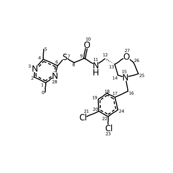 Cc1cnc(C)c(SCC(=O)NC[C@H]2CN(Cc3ccc(Cl)c(Cl)c3)CCO2)n1